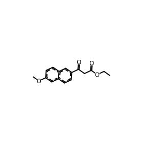 CCOC(=O)CC(=O)c1ccc2cc(OC)ccc2c1